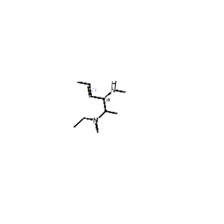 C/C=C/[C@@H](NC)C(C)N(C)CC